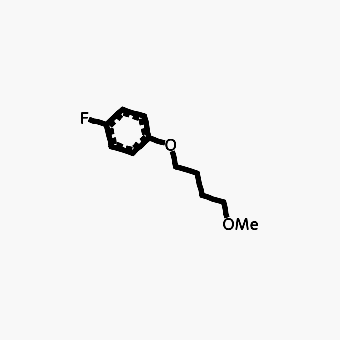 COCCCCOc1ccc(F)cc1